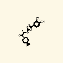 C[C@@H](Nc1nnc(-c2ccc(C#N)c(C(F)(F)F)c2)o1)C(=O)N1CCC2(CC1)CC2